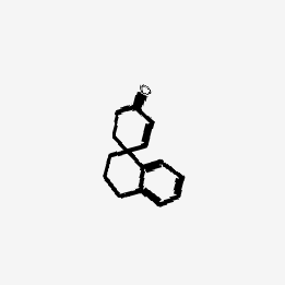 O=C1C=CC2(CCCc3ccccc32)CC1